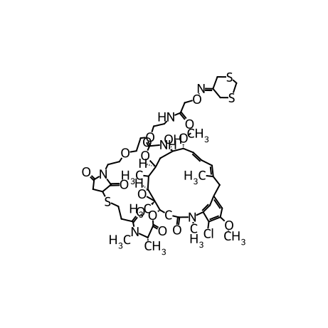 COc1cc2cc(c1Cl)N(C)C(=O)C[C@H](OC(=O)[C@H](C)N(C)C(=O)CCSC1CC(=O)N(CCOCCOCCNC(=O)CON=C3CSCSC3)C1=O)[C@]1(C)O[C@H]1C(C)[C@@H]1C[C@@](O)(NC(=O)O1)[C@H](OC)/C=C/C=C(\C)C2